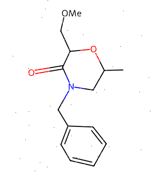 COCC1OC(C)CN(Cc2ccccc2)C1=O